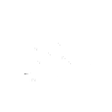 c1cc2nc(N3C[C@@H]4C[C@]3(CC3CCCO3)CN4)nc(Nc3cc(C4CC4)n[nH]3)c2s1